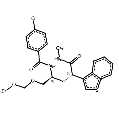 CCOCOC[C@H](C[C@H](C(=O)NO)c1csc2ccccc12)NC(=O)c1ccc(Cl)cc1